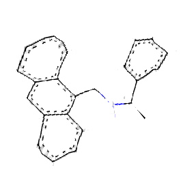 C[C@@H](NCc1c2ccccc2cc2ccccc12)c1ccccc1